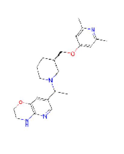 Cc1cc(OC[C@@H]2CCCN(C(C)c3cnc4c(c3)OCCN4)C2)cc(C)n1